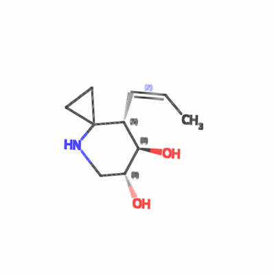 C/C=C\[C@@H]1[C@@H](O)[C@H](O)CNC12CC2